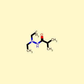 CCN(CC)NC(=O)C(C)C